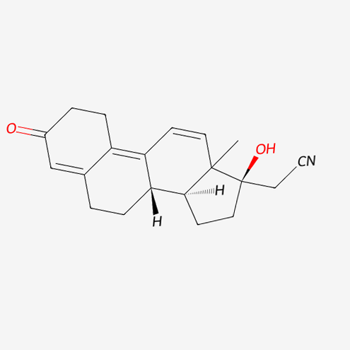 CC12C=CC3=C4CCC(=O)C=C4CC[C@H]3[C@@H]1CC[C@@]2(O)CC#N